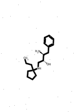 CCCC1(NC[C@@H](O)[C@@H](N)Cc2ccccc2)CCCC1